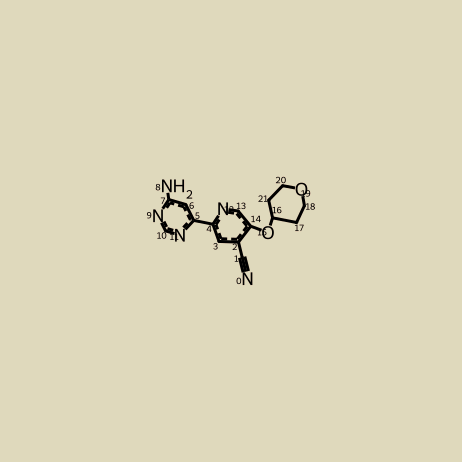 N#Cc1cc(-c2cc(N)ncn2)ncc1OC1CCOCC1